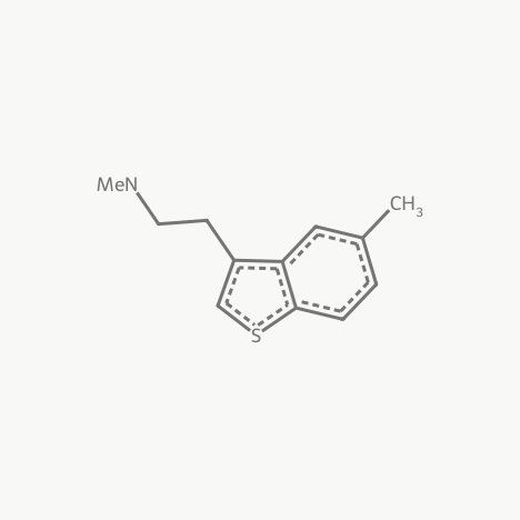 CNCCc1csc2ccc(C)cc12